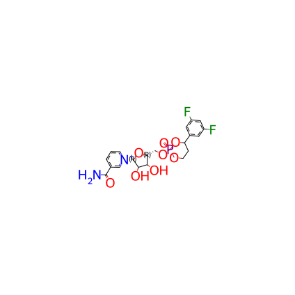 NC(=O)c1ccc[n+]([C@@H]2O[C@H](COP3(=O)OCCC(c4cc(F)cc(F)c4)O3)C(O)C2O)c1